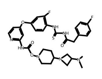 CN(C)C1CN(C2CCN(OC(=O)Nc3cc(Oc4ccc(NC(=S)NC(=O)Cc5ccc(F)cc5)c(F)c4)ccn3)CC2)C1